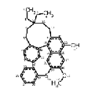 CCC1(CC)CCc2ccccc2-c2c(cc(O)c3cc(OC)c(Sc4ccccc4)cc23)CC1